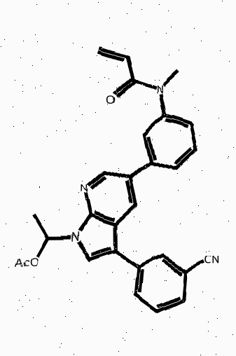 C=CC(=O)N(C)c1cccc(-c2cnc3c(c2)c(-c2cccc(C#N)c2)cn3C(C)OC(C)=O)c1